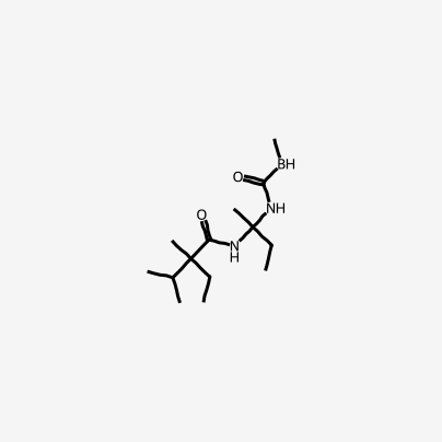 CBC(=O)NC(C)(CC)NC(=O)C(C)(CC)C(C)C